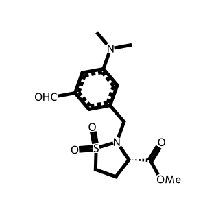 COC(=O)[C@@H]1CCS(=O)(=O)N1Cc1cc(C=O)cc(N(C)C)c1